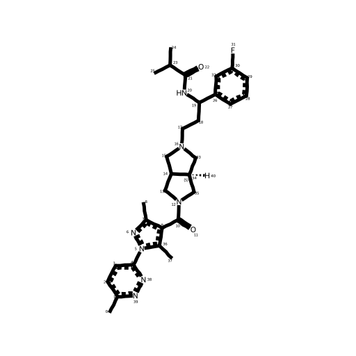 Cc1ccc(-n2nc(C)c(C(=O)N3CC4CN(CCC(NC(=O)C(C)C)c5cccc(F)c5)C[C@H]4C3)c2C)nn1